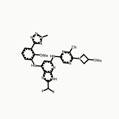 COc1c(Nc2cc(Nc3cnc(N4CC(OC)C4)c(C#N)n3)nc3[nH]c(C(F)F)nc23)cccc1-c1nnn(C)n1